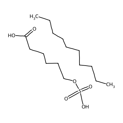 CCCCCCCCCC.O=C(O)CCCCCOS(=O)(=O)O